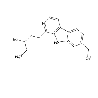 CC(=O)C(CN)CCc1nccc2c1[nH]c1cc(CO)ccc12